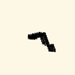 O.O.O.O.O.O.O.O.O.O.[NaH].[NaH].[NaH].[NaH].[NaH]